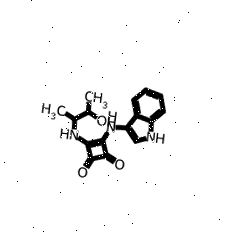 CC(O)C(C)Nc1c(Nc2c[nH]c3ccccc23)c(=O)c1=O